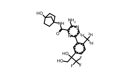 [2H]C([2H])([2H])c1ccc(C(O)(CO)C(F)(F)F)cc1-c1cnc(N)c(C(=O)NC23CCC(O)(CC2)C3)n1